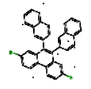 Brc1ccc2c(c1)c(-c1ccc3ccccc3c1)c(-c1ccc3ccccc3c1)c1cc(Br)ccc12